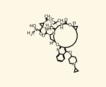 C=C[C@@H]1C[C@]1(NC(=O)[C@@H]1C[C@@H]2CN1C(=O)[C@H](C(C)(C)C)NC(=O)O[C@@H]1CC1CCCCCc1c(nc3ccccc3c1OC1CCN(C3CC3)CC1)O2)C(=O)N(C)O